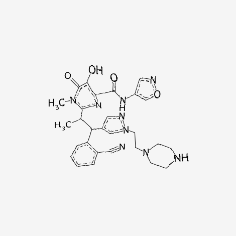 CC(c1nc(C(=O)Nc2cnoc2)c(O)c(=O)n1C)C(c1cnn(CCN2CCNCC2)c1)c1ccccc1C#N